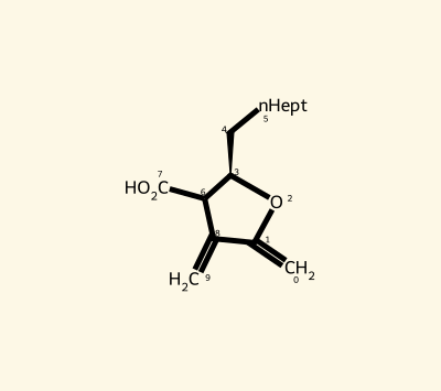 C=C1O[C@H](CCCCCCCC)C(C(=O)O)C1=C